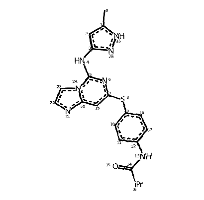 Cc1cc(Nc2nc(Sc3ccc(NC(=O)C(C)C)cc3)cc3nccn23)n[nH]1